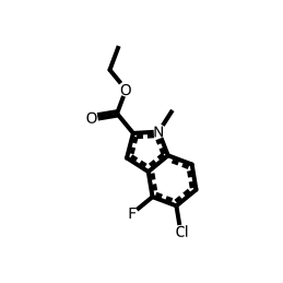 CCOC(=O)c1cc2c(F)c(Cl)ccc2n1C